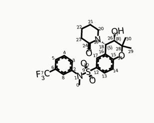 CN(c1cccc(C(F)(F)F)c1)S(=O)(=O)c1ccc2c(c1)[C@H](N1CCCCC1=O)[C@@H](O)C(C)(C)O2